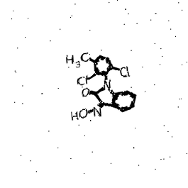 Cc1ccc(Cl)c(N2C(=O)C(=NO)c3ccccc32)c1Cl